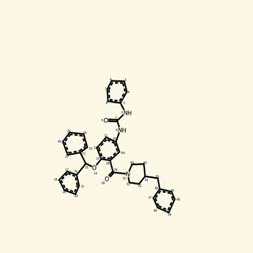 O=C(Nc1ccccc1)Nc1ccc(OC(c2ccccc2)c2ccccc2)c(C(=O)N2CCC(Cc3ccccc3)CC2)c1